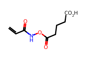 C=CC(=O)NOC(=O)CCCC(=O)O